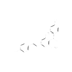 COc1cc(/C=C/c2ccc(O)cc2)cc(OC)c1C(C)c1ccc(O)cc1